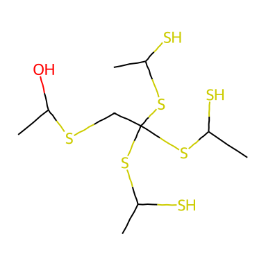 CC(O)SCC(SC(C)S)(SC(C)S)SC(C)S